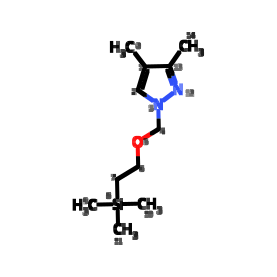 Cc1cn(COCC[Si](C)(C)C)nc1C